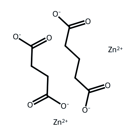 O=C([O-])CCC(=O)[O-].O=C([O-])CCCC(=O)[O-].[Zn+2].[Zn+2]